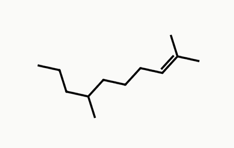 CCCC(C)CCCC=C(C)C